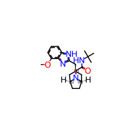 COc1cccc2[nH]c(C[C@H]3C[C@H]4CC[C@@H](C3)N4CC(=O)NC(C)(C)C)nc12